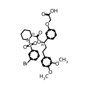 COc1ccc(CC[C@@H](OC(=O)[C@@H]2CCCCN2S(=O)(=O)c2cccc(Br)c2)c2cccc(OCC(=O)O)c2)cc1OC